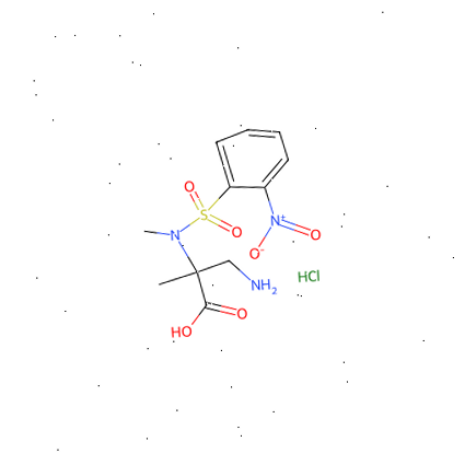 CN(C(C)(CN)C(=O)O)S(=O)(=O)c1ccccc1[N+](=O)[O-].Cl